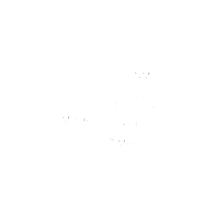 CNCc1ccccc1Pc1cc(OC)cc(OC)c1O